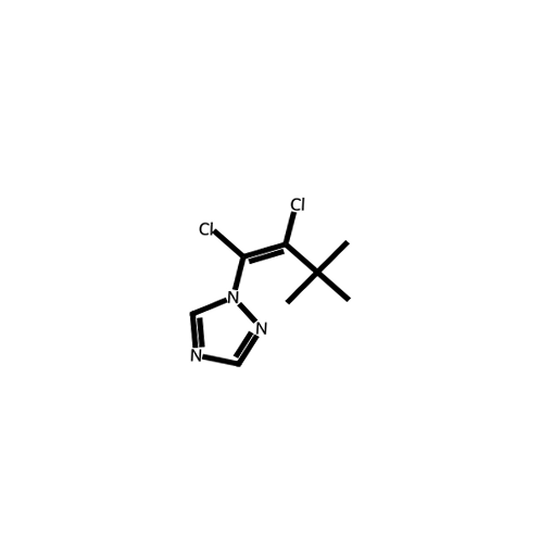 CC(C)(C)/C(Cl)=C(/Cl)n1cncn1